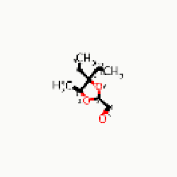 C=C1OC(C=O)OC1(CC)CC